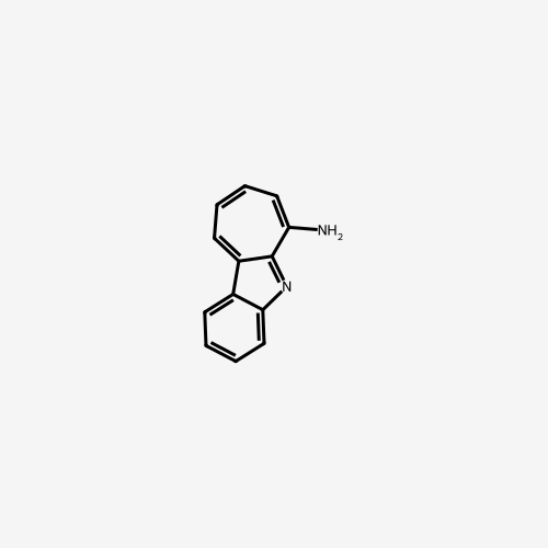 Nc1ccccc2c3ccccc3nc1-2